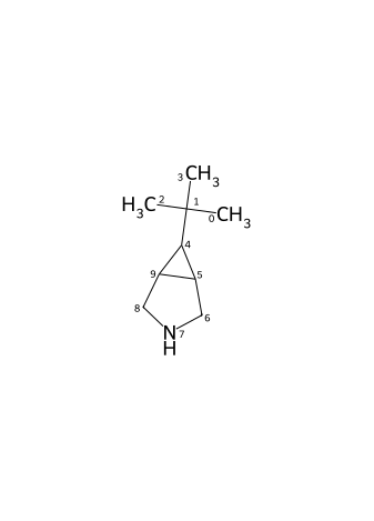 CC(C)(C)C1C2CNCC21